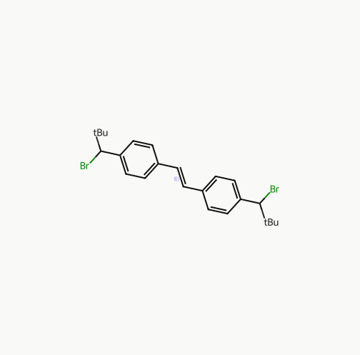 CC(C)(C)C(Br)c1ccc(/C=C/c2ccc(C(Br)C(C)(C)C)cc2)cc1